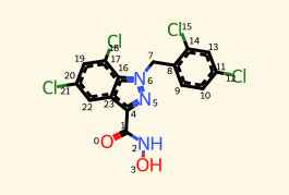 O=C(NO)c1nn(Cc2ccc(Cl)cc2Cl)c2c(Cl)cc(Cl)cc12